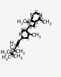 Cc1cc(C#C[Si](C)(C)C(C)(C)C)ncc1-c1cc2c(C)ncnc2n1C